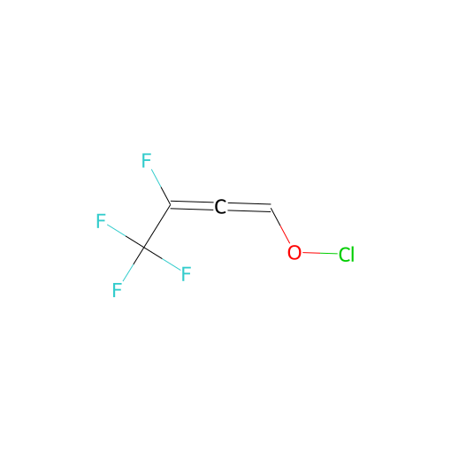 FC(=C=COCl)C(F)(F)F